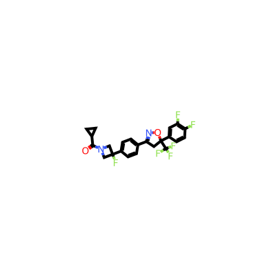 O=C(C1CC1)N1CC(F)(c2ccc(C3=NOC(c4ccc(F)c(F)c4)(C(F)(F)F)C3)cc2)C1